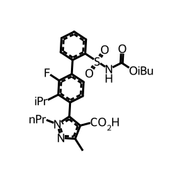 CCCn1nc(C)c(C(=O)O)c1-c1ccc(-c2ccccc2S(=O)(=O)NC(=O)OCC(C)C)c(F)c1C(C)C